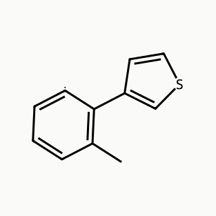 Cc1ccc[c]c1-c1ccsc1